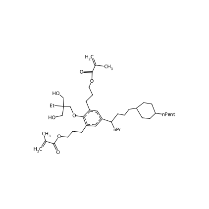 C=C(C)C(=O)OCCCc1cc(C(CCC)CCCC2CCC(CCCCC)CC2)cc(CCCOC(=O)C(=C)C)c1OCC(CC)(CO)CO